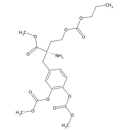 CCCOC(=O)OCC[C@@](N)(Cc1ccc(OC(=O)OC)c(OC(=O)OC)c1)C(=O)OC